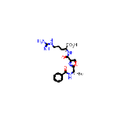 CCC(C)[C@H](NC(=O)c1ccccc1)c1nc(C(=O)N[C@@H](CCCNC(=N)N)C(=O)O)co1